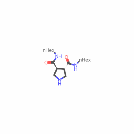 CCCCCCNC(=O)[C@@H]1CNC[C@H]1C(=O)NCCCCCC